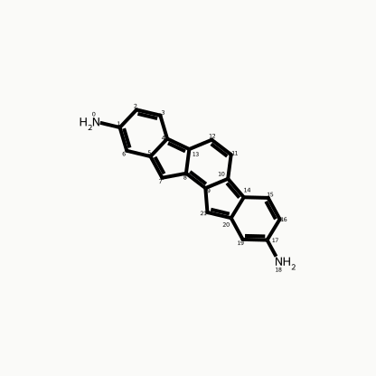 Nc1ccc2c(c1)=Cc1c3c(ccc1=2)=c1ccc(N)cc1=C3